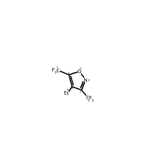 CCc1c(C(F)(F)F)noc1C(F)(F)F